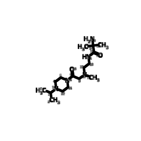 CC(C)N1CCN(C(=O)CN(C)CCNC(=O)C(C)(C)N)CC1